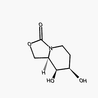 O=C1OC[C@@H]2[C@H](O)[C@H](O)CCN12